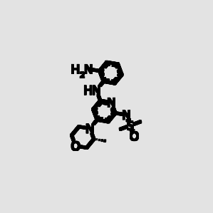 C[C@@H]1COCCN1c1cc(N=S(C)(C)=O)nc(Nc2ccccc2N)c1